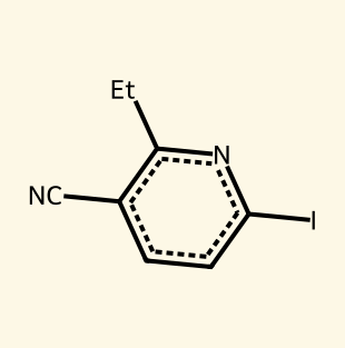 CCc1nc(I)ccc1C#N